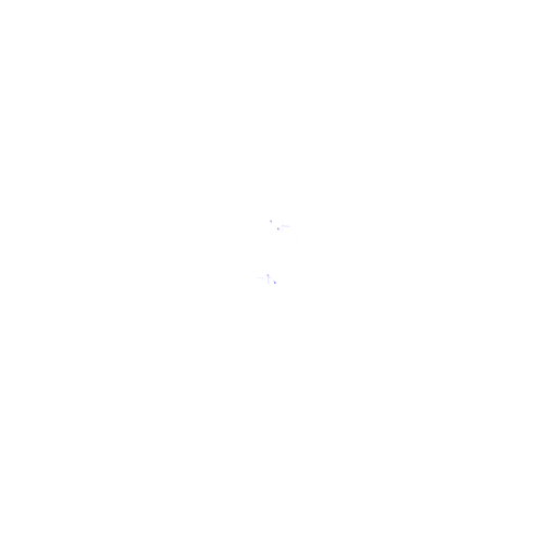 N[C]1Nc2ccccc2S1